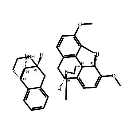 COC1=CC=C2[C@H]3Cc4ccc(OC)c5c4[C@@]2(CCN3C)[C@H]1O5.c1ccc2c(c1)C[C@H]1NCC[C@@]23CCCC[C@@H]13